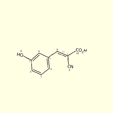 N#C/C(=C\c1cccc(O)c1)C(=O)O